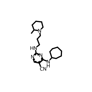 CC1CCCCN1CCCNc1ncc(C#N)c(NC2CCCCCC2)n1